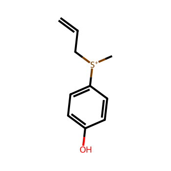 C=CC[S+](C)c1ccc(O)cc1